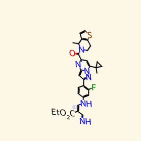 CCOC(=O)/C(C=N)=C/Nc1ccc(-c2cc3nc(C(=O)N4CCc5sccc5C4C)cc(C4(C)CC4)n3n2)c(F)c1